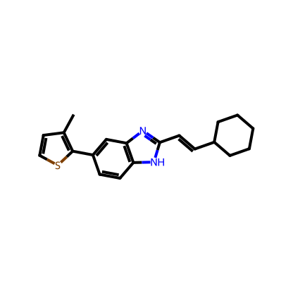 Cc1ccsc1-c1ccc2[nH]c(C=CC3CCCCC3)nc2c1